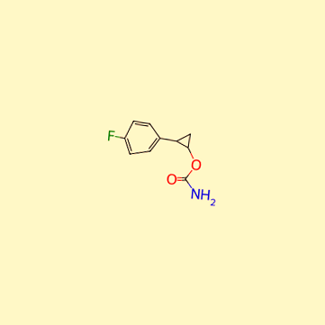 NC(=O)OC1CC1c1ccc(F)cc1